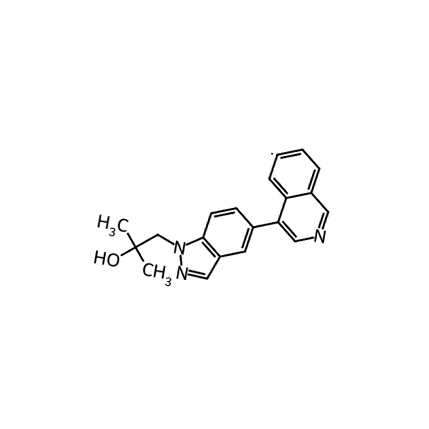 CC(C)(O)Cn1ncc2cc(-c3cncc4cc[c]cc34)ccc21